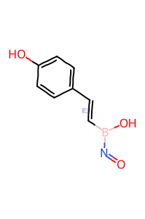 O=NB(O)/C=C/c1ccc(O)cc1